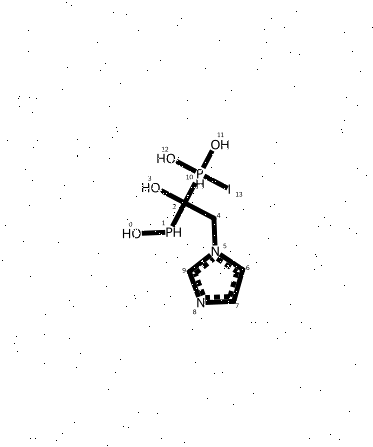 OPC(O)(Cn1ccnc1)[PH](O)(O)I